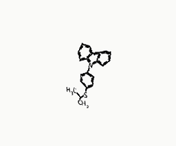 CC(C)Sc1ccc(-n2c3ccccc3c3ccccc32)cc1